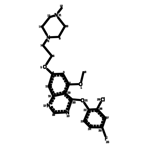 COc1cc(OCCN2CCN(C)CC2)cc2ncnc(Oc3ccc(F)cc3Cl)c12